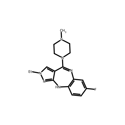 CCn1cc2c(n1)Nc1ccc(F)cc1N=C2N1CCN(C)CC1